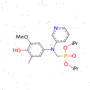 COc1cc(N(CP(=O)(OC(C)C)OC(C)C)c2cccnc2)cc(C)c1O